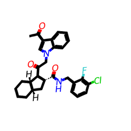 CC(=O)c1cn(CC(=O)C2[C@H]3CCCC[C@H]3C[C@H]2C(=O)NCc2cccc(Cl)c2F)c2ccccc12